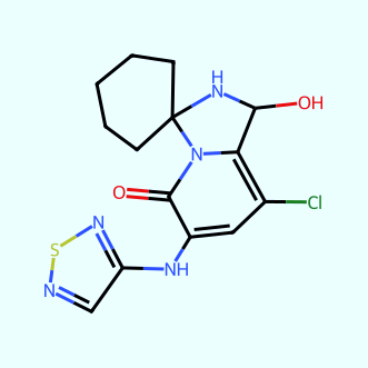 O=c1c(Nc2cnsn2)cc(Cl)c2n1C1(CCCCC1)NC2O